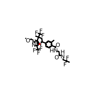 C/N=C(\CC(C)(c1cc(C(F)(F)F)nn1COC)C(F)(F)F)c1ccc(C(=O)NCC(=O)NCC(C)(F)F)c(C)c1